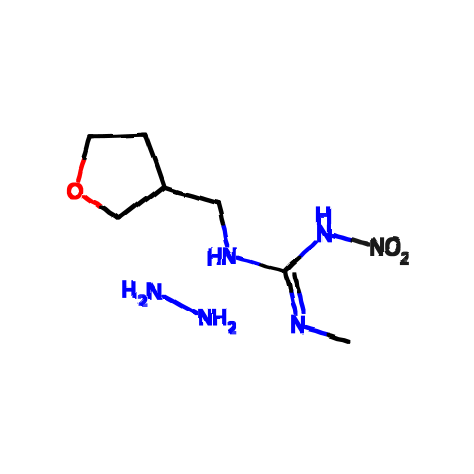 C/N=C(/NCC1CCOC1)N[N+](=O)[O-].NN